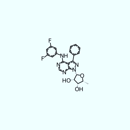 C[C@H]1O[C@@H](n2nc(-c3ccccc3)c3c(Nc4cc(F)cc(F)c4)ncnc32)[C@@H](O)[C@H]1O